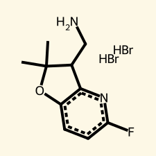 Br.Br.CC1(C)Oc2ccc(F)nc2C1CN